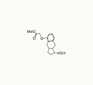 CCCCCCCCC1CCC2Cc3c(cccc3OCC(=O)OC)CC12